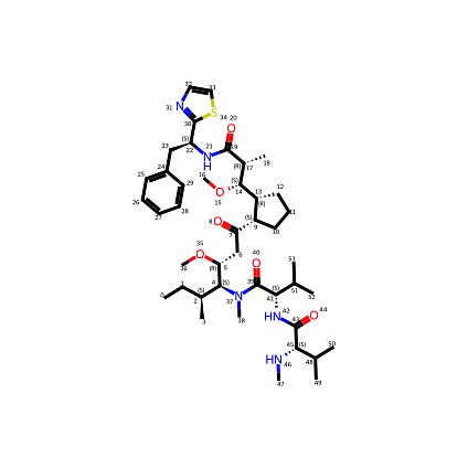 CC[C@H](C)[C@@H]([C@@H](CC(=O)[C@H]1CCC[C@H]1[C@H](OC)[C@@H](C)C(=O)N[C@@H](Cc1ccccc1)c1nccs1)OC)N(C)C(=O)[C@@H](NC(=O)[C@@H](NC)C(C)C)C(C)C